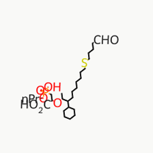 CCCOP(=O)(O)CC(OC(C)C(CCCCCCCSCCCCC=O)C1CCCCC1)C(=O)O